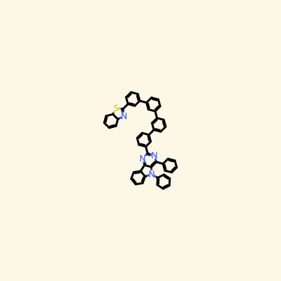 C1=CC2N=C(c3cccc(-c4cccc(-c5cccc(-c6cccc(-c7nc(-c8ccccc8)c8c(n7)c7ccccc7n8-c7ccccc7)c6)c5)c4)c3)SC2C=C1